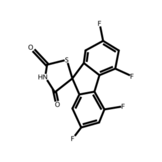 O=C1NC(=O)C2(S1)c1cc(F)cc(F)c1-c1c(F)cc(F)cc12